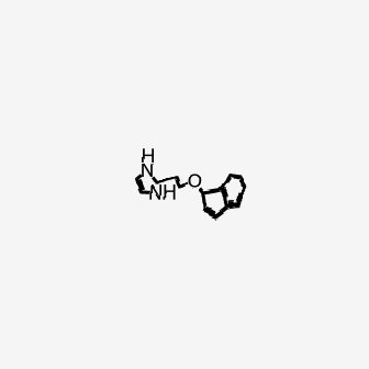 C1=CNC(CCOC2C=Cc3ccccc32)N1